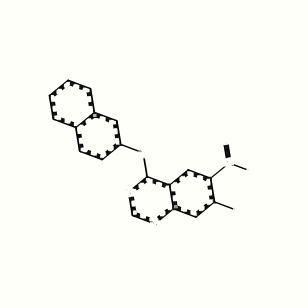 O=[N+]([O-])c1cc2c(Nc3ccc4ccccc4c3)ncnc2cc1F